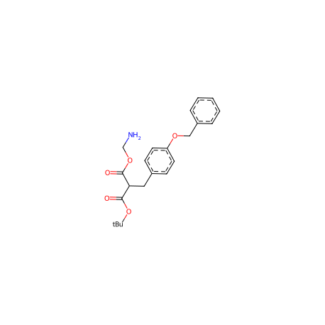 CC(C)(C)OC(=O)C(Cc1ccc(OCc2ccccc2)cc1)C(=O)OCN